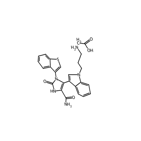 CC(=O)O.NCCCn1cc(-c2c(C(N)=O)[nH]c(=O)n2-c2csc3ccccc23)c2ccccc21